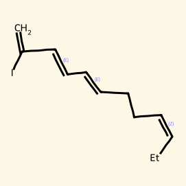 C=C(I)/C=C/C=C/CC/C=C\CC